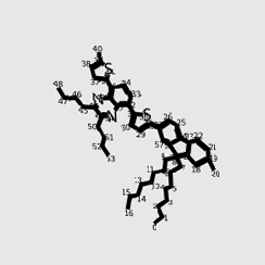 CCCCCCCCC1(CCCCCCCC)c2cc(C)ccc2-c2ccc(-c3ccc(-c4ccc(-c5ccc(C)s5)c5nc(CCCC)c(CCCC)nc45)s3)cc21